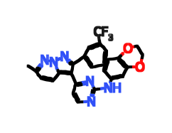 Cc1ccc2c(-c3ccnc(Nc4ccc5c(c4)OCCO5)n3)c(-c3cccc(C(F)(F)F)c3)nn2n1